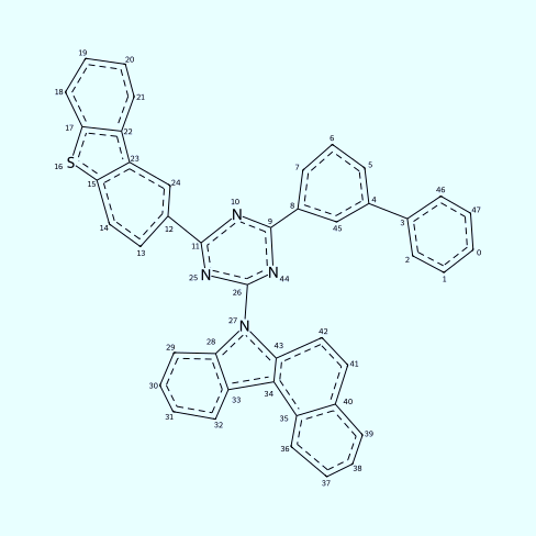 c1ccc(-c2cccc(-c3nc(-c4ccc5sc6ccccc6c5c4)nc(-n4c5ccccc5c5c6ccccc6ccc54)n3)c2)cc1